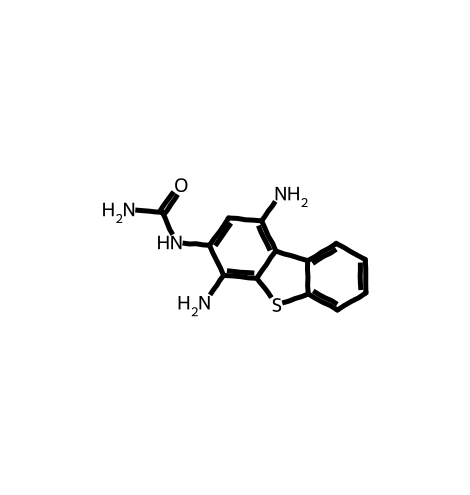 NC(=O)Nc1cc(N)c2c(sc3ccccc32)c1N